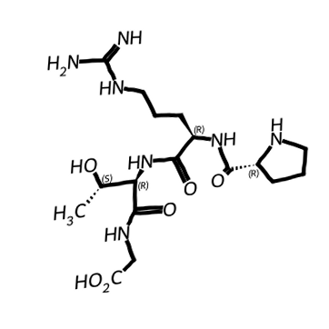 C[C@H](O)[C@@H](NC(=O)[C@@H](CCCNC(=N)N)NC(=O)[C@H]1CCCN1)C(=O)NCC(=O)O